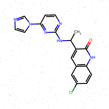 CC(Nc1nccc(-n2ccnc2)n1)c1cc2cc(Cl)ccc2[nH]c1=O